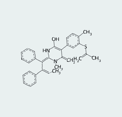 C=C(C)Sc1cc(C2=C(O)N/C(=C(/C(=C\C)c3ccccc3)c3ccccc3)N(C)C2=C)ccc1C